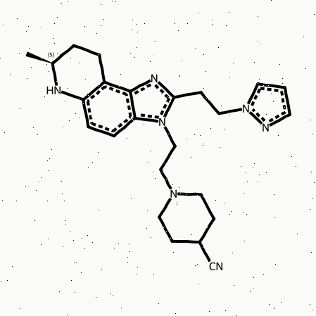 C[C@H]1CCc2c(ccc3c2nc(CCn2cccn2)n3CCN2CCC(C#N)CC2)N1